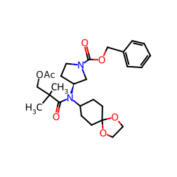 CC(=O)OCC(C)(C)C(=O)N(C1CCC2(CC1)OCCO2)[C@H]1CCN(C(=O)OCc2ccccc2)C1